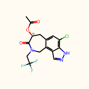 CC(=O)O[C@H]1Cc2cc(Cl)c3[nH]ncc3c2CN(CC(F)(F)F)C1=O